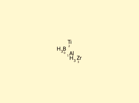 B.[AlH3].[Ti].[Zr]